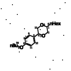 CCCCCCC1COC(c2ccc(OCCCC)cc2)CO1